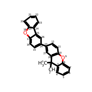 CC1(C)c2ccccc2Oc2ccc(-c3ccc4oc5ccccc5c4c3)cc21